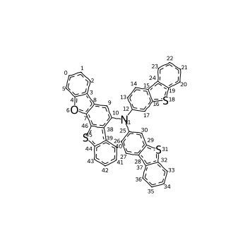 c1ccc2c(c1)oc1c2cc(N(c2ccc3c(c2)sc2ccccc23)c2ccc3c(c2)sc2ccccc23)c2c3ccccc3sc12